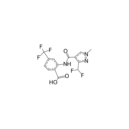 Cn1cc(C(=O)Nc2cc(C(F)(F)F)ccc2C(=O)O)c(C(F)F)n1